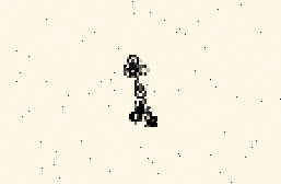 Cc1nc2n(c(=O)c1CCN1CCC(Cc3nc4ccccc4n3Cc3cccs3)CC1)CCCC2